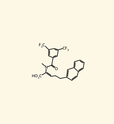 CN(C(=O)c1cc(C(F)(F)F)cc(C(F)(F)F)c1)C(=CCCc1ccc2ccccc2c1)C(=O)O